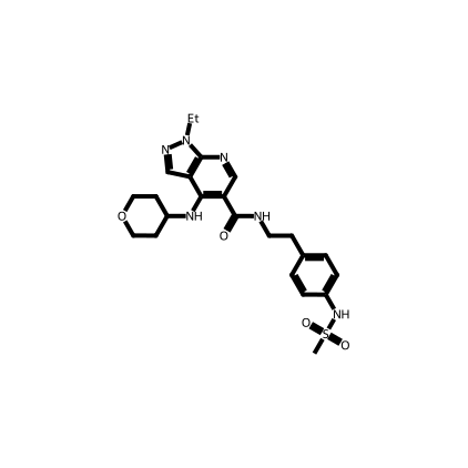 CCn1ncc2c(NC3CCOCC3)c(C(=O)NCCc3ccc(NS(C)(=O)=O)cc3)cnc21